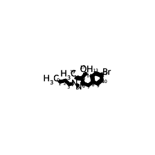 CCCCn1nc(Cc2ccc(Br)cc2)c(CO)c1C